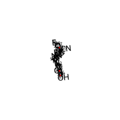 CCc1nc2c(C)cc(N3CCN(CC(=O)N4CC[C@H](O)C4)CC3)cn2c1N(C)c1nc(C2=CC=C(F)C=CC2)c(C#N)s1